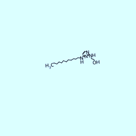 CCCCCCCCCCCCNc1ccnc(NCCO)n1